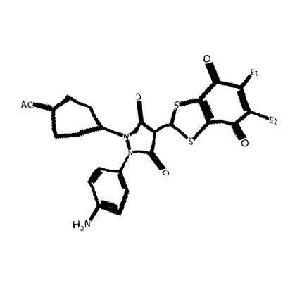 CCC1=C(CC)C(=O)C2=C(SC(C3C(=O)N(c4ccc(N)cc4)N(C4CCC(C(C)=O)CC4)C3=O)S2)C1=O